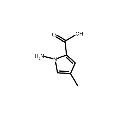 Cc1cc(C(=O)O)n(N)c1